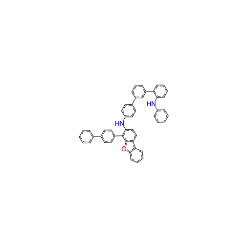 c1ccc(Nc2ccccc2-c2cccc(-c3ccc(Nc4ccc5c(oc6ccccc65)c4-c4ccc(-c5ccccc5)cc4)cc3)c2)cc1